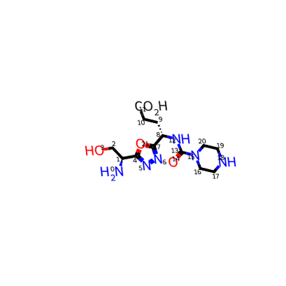 N[C@@H](CO)c1nnc([C@H](CCC(=O)O)NC(=O)N2CCNCC2)o1